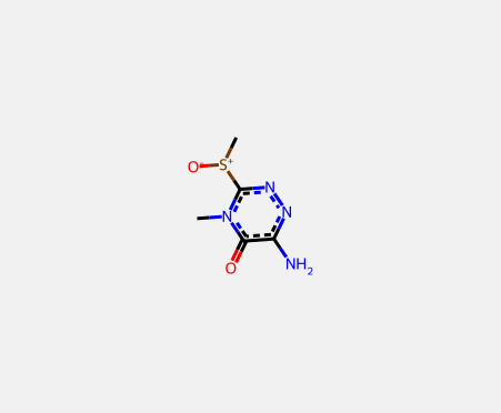 Cn1c([S+](C)[O-])nnc(N)c1=O